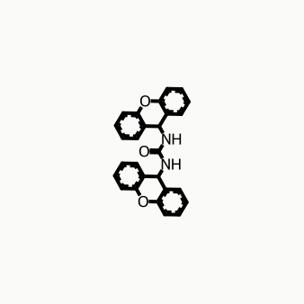 O=C(NC1c2ccccc2Oc2ccccc21)NC1c2ccccc2Oc2ccccc21